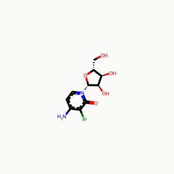 Nc1ccn([C@@H]2O[C@H](CO)[C@@H](O)[C@H]2O)c(=O)c1Br